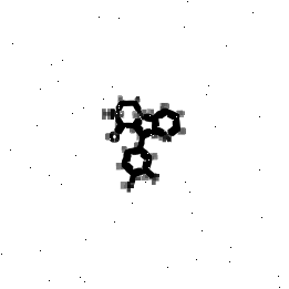 O=C1NCCn2c1c(-c1ccc(F)c(F)c1)c1ncccc12